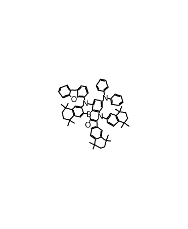 CC1(C)CCC(C)(C)c2cc(N3c4cc(N(c5ccccc5)c5ccccc5)cc5c4B(c4cc6c(cc4N5c4cccc5c4oc4ccccc45)C(C)(C)CCC6(C)C)c4oc5cc6c(cc5c43)C(C)(C)CCC6(C)C)ccc21